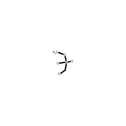 CO[Si](Cl)(Cl)CCl